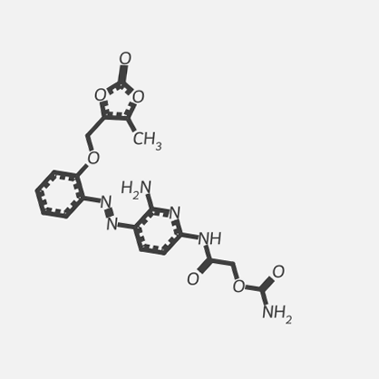 Cc1oc(=O)oc1COc1ccccc1/N=N/c1ccc(NC(=O)COC(N)=O)nc1N